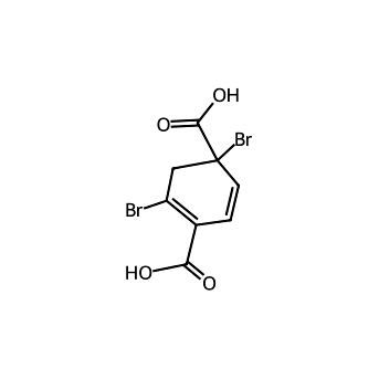 O=C(O)C1=C(Br)CC(Br)(C(=O)O)C=C1